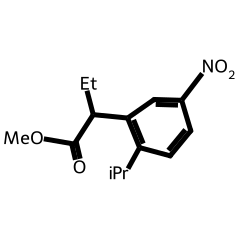 CCC(C(=O)OC)c1cc([N+](=O)[O-])ccc1C(C)C